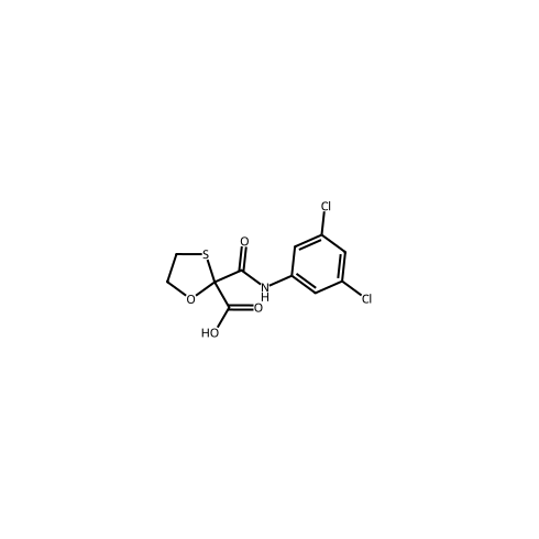 O=C(O)C1(C(=O)Nc2cc(Cl)cc(Cl)c2)OCCS1